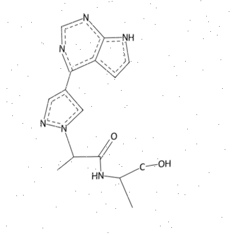 CC(CO)NC(=O)C(C)n1cc(-c2ncnc3[nH]ccc23)cn1